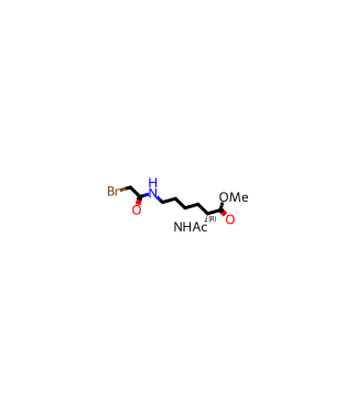 COC(=O)[C@@H](CCCCNC(=O)CBr)NC(C)=O